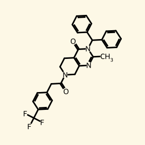 Cc1nc2c(c(=O)n1C(c1ccccc1)c1ccccc1)CCN(C(=O)Cc1ccc(C(F)(F)F)cc1)C2